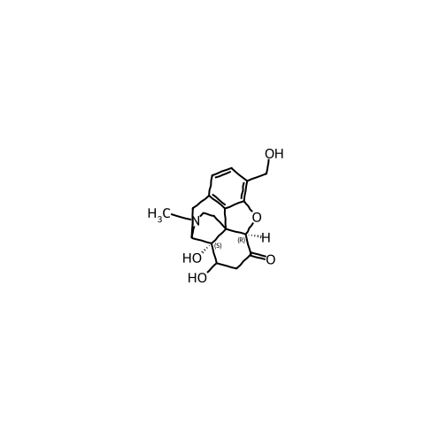 CN1CCC23c4c5ccc(CO)c4O[C@H]2C(=O)CC(O)[C@@]3(O)C1C5